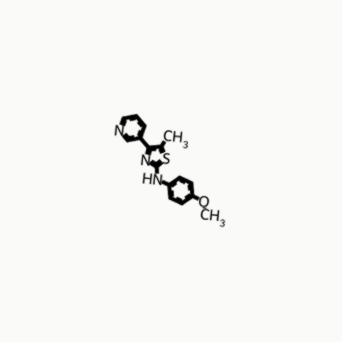 COc1ccc(Nc2nc(-c3cccnc3)c(C)s2)cc1